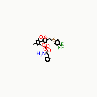 Cc1cc(C)c(-c2c(OC(=O)OC(=O)[C@@H](N)Cc3ccccc3)cc(CCSc3ccc(C(F)(F)F)cc3)oc2=O)c(C)c1